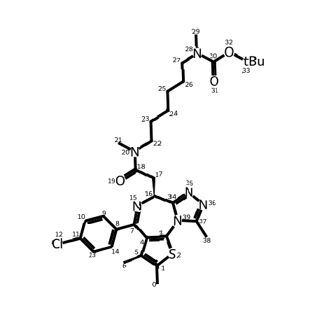 Cc1sc2c(c1C)C(c1ccc(Cl)cc1)=N[C@@H](CC(=O)N(C)CCCCCCN(C)C(=O)OC(C)(C)C)c1nnc(C)n1-2